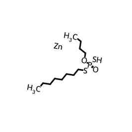 CCCCCCCCSP(=O)(S)OCCCC.[Zn]